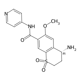 COc1cc2c(cc1C(=O)Nc1ccncc1)S(=O)(=O)CC[C@H]2N